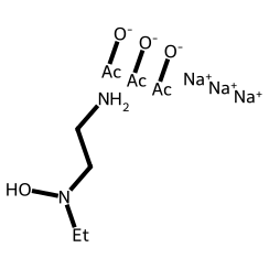 CC(=O)[O-].CC(=O)[O-].CC(=O)[O-].CCN(O)CCN.[Na+].[Na+].[Na+]